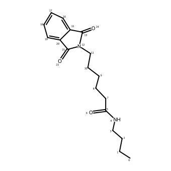 CCCCNC(=O)CCCCCN1C(=O)c2ccccc2C1=O